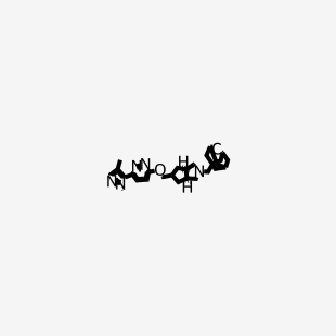 Cc1cnn(C)c1-c1ccc(OCC2C[C@@H]3CN(CC45CC6CC(CC(C6)C4)C5)C[C@@H]3C2)nn1